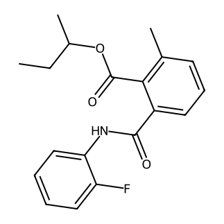 CCC(C)OC(=O)c1c(C)cccc1C(=O)Nc1ccccc1F